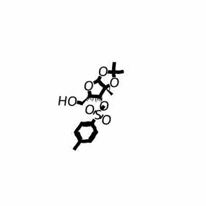 Cc1ccc(S(=O)(=O)O[C@@H]2[C@@H](CO)OC3OC(C)(C)O[C@@]32C)cc1